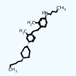 CCCCC[C@H]1CC[C@H](c2ccc(CCc3ccc(NCCCC)cc3C)c(C)c2)CC1